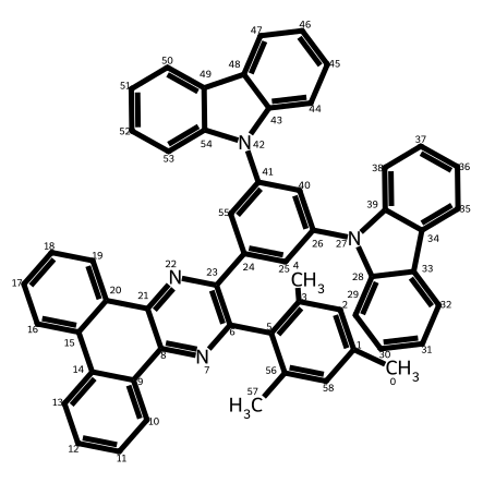 Cc1cc(C)c(-c2nc3c4ccccc4c4ccccc4c3nc2-c2cc(-n3c4ccccc4c4ccccc43)cc(-n3c4ccccc4c4ccccc43)c2)c(C)c1